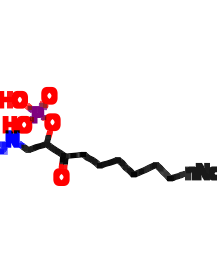 CCCCCCCCCCCCCCCC(=O)C(CN)OP(=O)(O)O